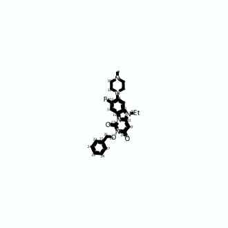 CCn1c2cc(N3CCN(C)CC3)c(F)cc2n2c(=O)n(OCc3ccccc3)c(=O)cc12